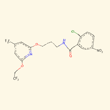 O=C(NCCCOc1cc(C(F)(F)F)cc(OCC(F)(F)F)n1)c1cc([N+](=O)[O-])ccc1Cl